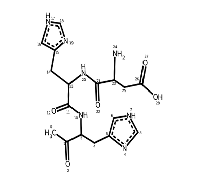 CC(=O)C(Cc1c[nH]cn1)NC(=O)C(Cc1c[nH]cn1)NC(=O)C(N)CC(=O)O